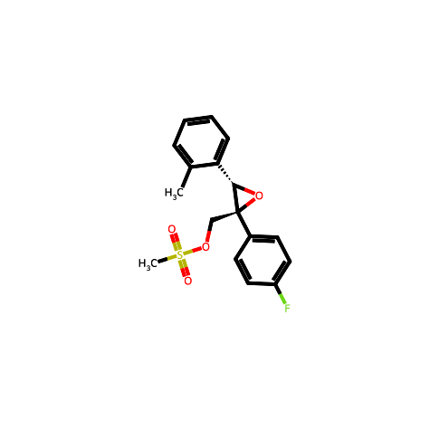 Cc1ccccc1[C@@H]1O[C@]1(COS(C)(=O)=O)c1ccc(F)cc1